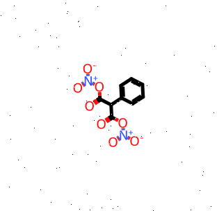 O=C(O[N+](=O)[O-])C(C(=O)O[N+](=O)[O-])c1ccccc1